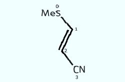 [CH2]S/C=C/C#N